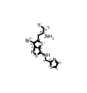 C[C@@H](F)[C@H](N)Cc1sc2c(NCc3nccs3)snc2c1Br